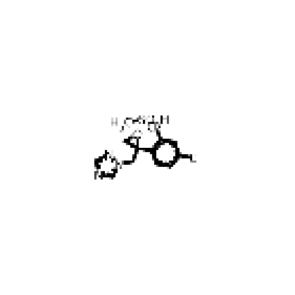 CS(=O)(=O)O.Clc1ccc(C2(Cn3cncn3)CO2)c(Cl)c1